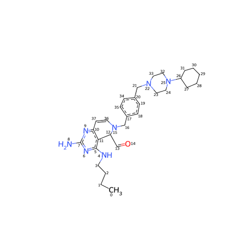 CCCCNc1nc(N)nc2c1C(C=O)N(Cc1ccc(CN3CCN(C4CCCCC4)CC3)cc1)C=C2